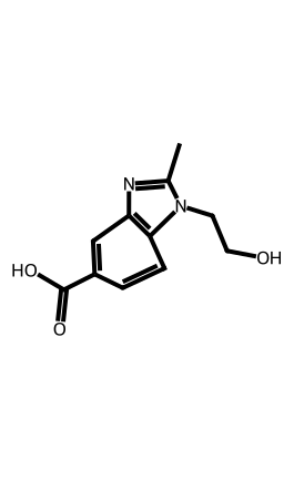 Cc1nc2cc(C(=O)O)ccc2n1CCO